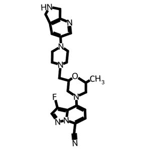 CC1CN(c2ccc(C#N)n3ncc(F)c23)CC(CN2CCN(c3cnc4c(c3)CNC4)CC2)O1